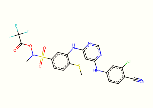 CSc1ccc(S(=O)(=O)N(C)OC(=O)C(F)(F)F)cc1Nc1cc(Nc2ccc(C#N)c(Cl)c2)ncn1